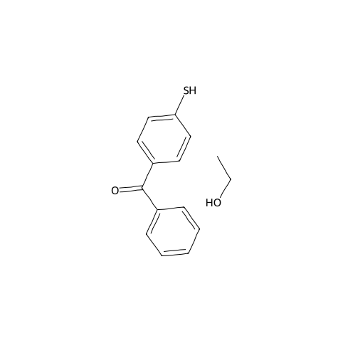 CCO.O=C(c1ccccc1)c1ccc(S)cc1